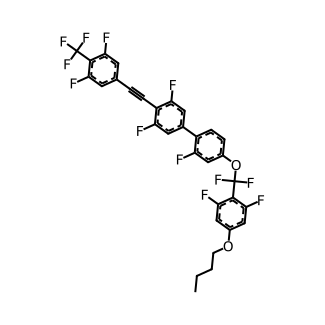 CCCCOc1cc(F)c(C(F)(F)Oc2ccc(-c3cc(F)c(C#Cc4cc(F)c(C(F)(F)F)c(F)c4)c(F)c3)c(F)c2)c(F)c1